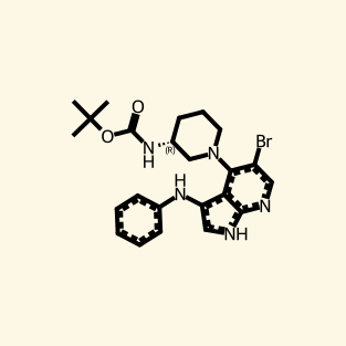 CC(C)(C)OC(=O)N[C@@H]1CCCN(c2c(Br)cnc3[nH]cc(Nc4ccccc4)c23)C1